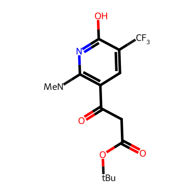 CNc1nc(O)c(C(F)(F)F)cc1C(=O)CC(=O)OC(C)(C)C